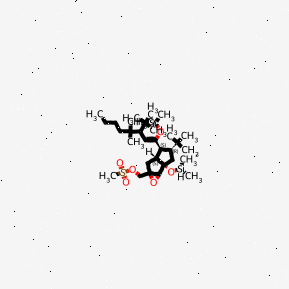 CCCCC(C)(C)C(C=C(O[SiH](C)C)[C@H]1[C@H](C(C)(C)C)C[C@@]2(O[SiH](C)C)C3OC3(COS(C)(=O)=O)C[C@@H]12)C(C)(C)C